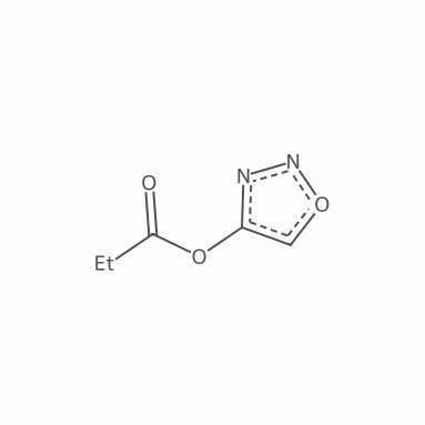 CCC(=O)Oc1conn1